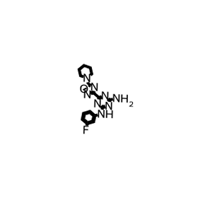 Nc1nc(Nc2cccc(F)c2)nc(-c2noc(N3CCCCC3)n2)n1